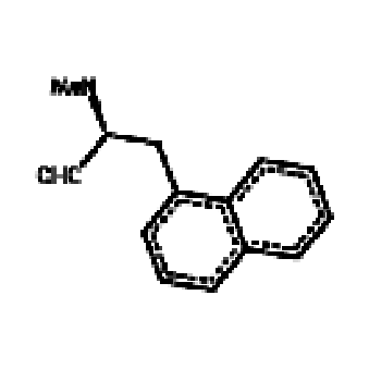 CN[C@H](C=O)Cc1cccc2ccccc12